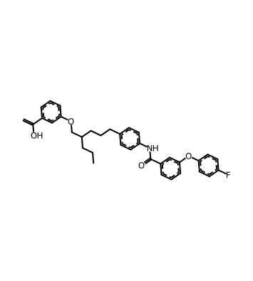 C=C(O)c1cccc(OCC(CCC)CCCc2ccc(NC(=O)c3cccc(Oc4ccc(F)cc4)c3)cc2)c1